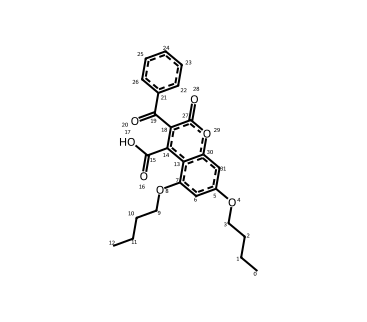 CCCCOc1cc(OCCCC)c2c(C(=O)O)c(C(=O)c3ccccc3)c(=O)oc2c1